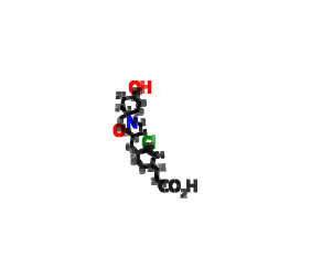 CC1(N2CCC(Cc3ccc(C=CC(=O)O)cc3Cl)C2=O)CCC(O)CC1